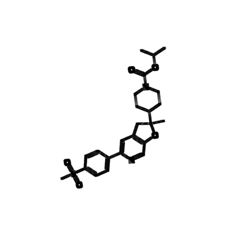 CC(C)OC(=O)N1CCC(C2(C)Cc3cc(-c4ccc(S(C)(=O)=O)cc4)ncc3O2)CC1